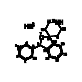 Br.c1cncc(C2OC3(CCNCC3)c3ccccc32)c1